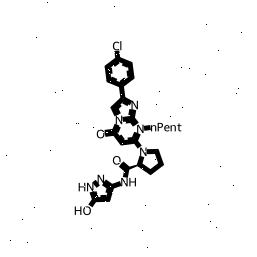 CCCCCn1c(N2CCC[C@H]2C(=O)Nc2cc(O)[nH]n2)cc(=O)n2cc(-c3ccc(Cl)cc3)nc12